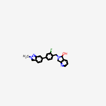 Cn1cc2ccc(-c3ccc(CN4Cc5ncccc5C4O)c(F)c3)cc2n1